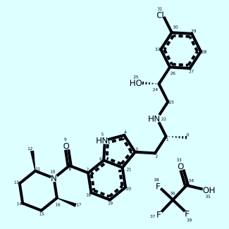 C[C@H](Cc1c[nH]c2c(C(=O)N3[C@H](C)CCC[C@@H]3C)cccc12)NC[C@H](O)c1cccc(Cl)c1.O=C(O)C(F)(F)F